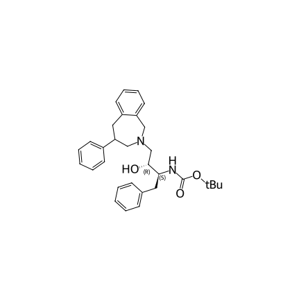 CC(C)(C)OC(=O)N[C@@H](Cc1ccccc1)[C@H](O)CN1Cc2ccccc2CC(c2ccccc2)C1